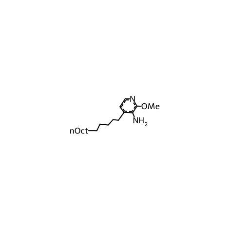 CCCCCCCCCCCCCc1ccnc(OC)c1N